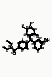 CCN(CC)C(=O)c1ccc([C@@H](C2=C(C)CN(C)[C@H](C)C2)c2cccc(O)c2)cc1